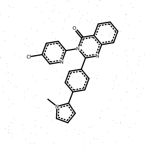 Cn1cccc1-c1ccc(-c2nc3ccccc3c(=O)n2-c2ccc(Cl)cn2)cc1